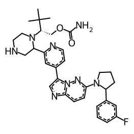 CC(C)(C)[C@H](COC(N)=O)N1CCNCC1c1cc(-c2cnc3ccc(N4CCCC4c4cccc(F)c4)nn23)ccn1